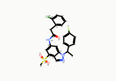 CC(c1ccc(F)cc1)n1ncc2c(S(C)(=O)=O)cc(NC(=O)Cc3ccccc3Cl)cc21